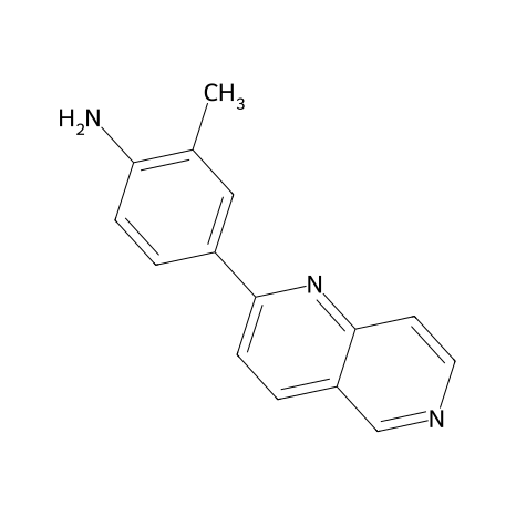 Cc1cc(-c2ccc3cnccc3n2)ccc1N